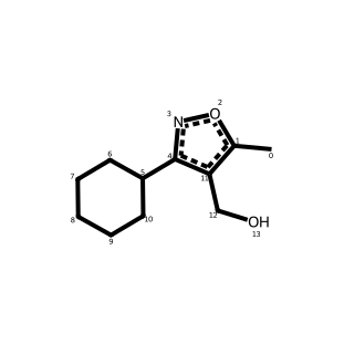 Cc1onc(C2CCCCC2)c1CO